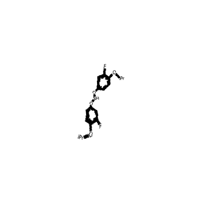 CC(C)Oc1ccc(OBOc2ccc(OC(C)C)c(F)c2)cc1F